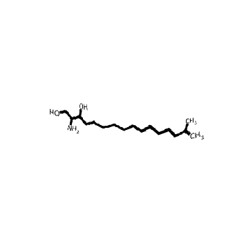 CC(C)CCCCCCCCCCCC(O)C(N)CO